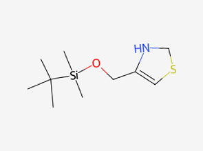 CC(C)(C)[Si](C)(C)OCC1=CSCN1